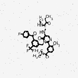 CCC(=O)[C@H](CNc1cnc(-c2cc(C(=O)N(C)C)ccc2C)n(Cc2cc(C(=O)c3ccc(F)cc3)cc(C(F)(F)F)c2)c1=O)NC